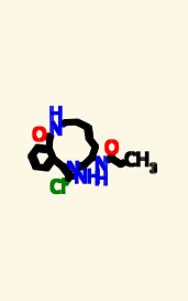 CCC(=O)N[C@H]1C/C=C/CCNC(=O)c2ccccc2-c2nc1[nH]c2Cl